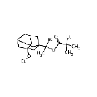 CCOC12CC3CC(C1)CC(C(C)(CC)OC(=O)C(C)(C)CC)(C3)C2